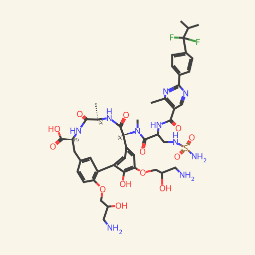 Cc1nc(-c2ccc(C(F)(F)C(C)C)cc2)ncc1C(=O)NC(CNS(N)(=O)=O)C(=O)N(C)[C@@H]1C(=O)N[C@@H](C)C(=O)N[C@H](C(=O)O)Cc2ccc(OCC(O)CN)c(c2)-c2cc1cc(OCC(O)CN)c2O